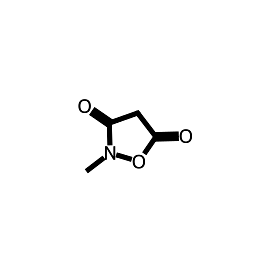 CN1OC(=O)CC1=O